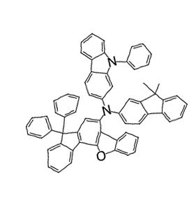 CC1(C)c2ccccc2-c2ccc(N(c3ccc4c5ccccc5n(-c5ccccc5)c4c3)c3cc4c(c5oc6ccccc6c35)-c3ccccc3C4(c3ccccc3)c3ccccc3)cc21